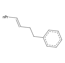 CCCC=CCCc1ccccc1